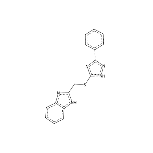 c1ccc(-c2n[nH]c(SCc3nc4ccccc4[nH]3)n2)cc1